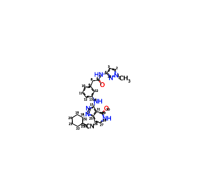 Cn1ccc(NC(=O)Cc2cccc(Nc3nn([C@H]4CCCC[C@@H]4C#N)c4cc[nH]c(=O)c34)c2)n1